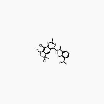 CCNc1c(P(C)(C)=O)cc2c(NC(C)c3cccc(C(F)F)c3F)nc(C)nc2c1Cl